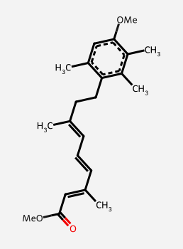 COC(=O)C=C(C)C=CC=C(C)CCc1c(C)cc(OC)c(C)c1C